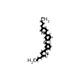 C=CCCc1ccc(-c2cccc(Oc3cccc(-c4ccc(CCC=C)cn4)c3)c2)nc1